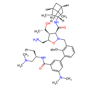 COc1c(CN2O[C@@H](CN)[C@@H]([C@H](C)O)[C@H]2C(=O)N[C@H]2C[C@H]3C[C@@H]([C@@H]2C)C3(C)C)cccc1-c1cc(C(=O)N[C@H](CC(C)C)CN(C)C)cc(N(C)C)c1